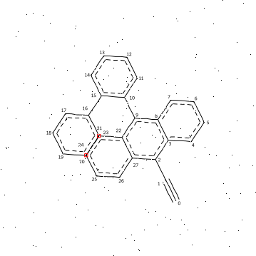 C#Cc1c2ccccc2c(-c2ccccc2-c2ccccc2)c2ccccc12